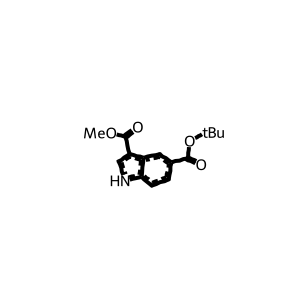 COC(=O)c1c[nH]c2ccc(C(=O)OC(C)(C)C)cc12